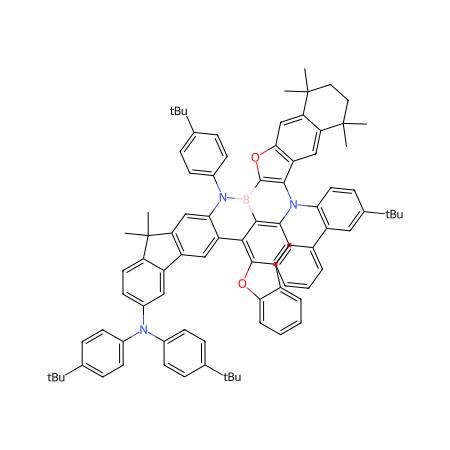 CC(C)(C)c1ccc(N2B3c4oc5cc6c(cc5c4N(c4ccc(C(C)(C)C)cc4-c4ccccc4)c4cc5c(oc7ccccc75)c(c43)-c3cc4c(cc32)C(C)(C)c2ccc(N(c3ccc(C(C)(C)C)cc3)c3ccc(C(C)(C)C)cc3)cc2-4)C(C)(C)CCC6(C)C)cc1